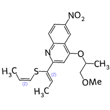 C/C=C\S/C(=C\C)c1cc(OC(C)COC)c2cc([N+](=O)[O-])ccc2n1